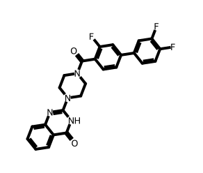 O=C(c1ccc(-c2ccc(F)c(F)c2)cc1F)N1CCN(c2nc3ccccc3c(=O)[nH]2)CC1